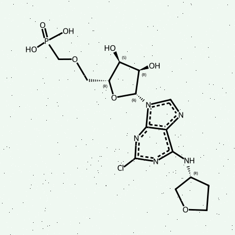 O=P(O)(O)COC[C@H]1O[C@@H](n2cnc3c(N[C@@H]4CCOC4)nc(Cl)nc32)[C@H](O)[C@@H]1O